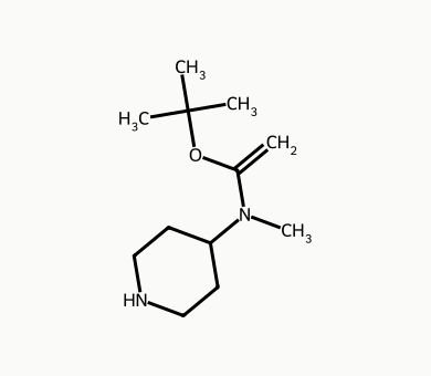 C=C(OC(C)(C)C)N(C)C1CCNCC1